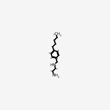 CCCCCc1ccc(CNCCN)cc1